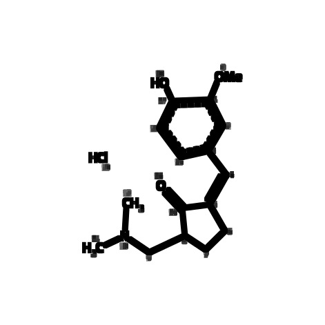 COc1cc(C=C2CCC(CN(C)C)C2=O)ccc1O.Cl